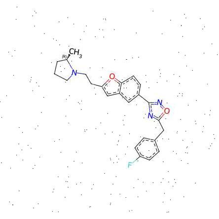 C[C@@H]1CCCN1CCc1cc2cc(-c3noc(Cc4ccc(F)cc4)n3)ccc2o1